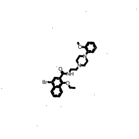 CCOc1c(C(=O)NCCN2CCN(c3ccccc3OC)CC2)cc(Br)c2ccccc12